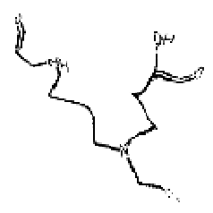 CCN(CCCNC=O)CCC(=O)O